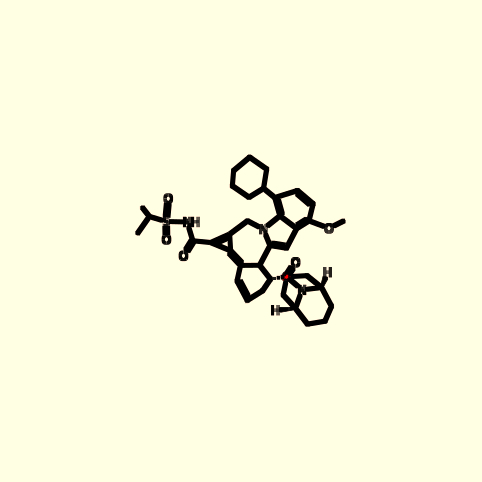 COc1ccc(C2CCCCC2)c2c1cc1n2CC2=C(C(=O)NS(=O)(=O)C(C)C)C2=C2C=CC[C@@H](C(=O)N3[C@@H]4CCC[C@H]3COC4)C21